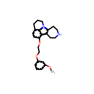 FC(F)(F)Oc1cccc(OCCOc2ccc3c4c2c2c(n4CCC3)CCNCC2)c1